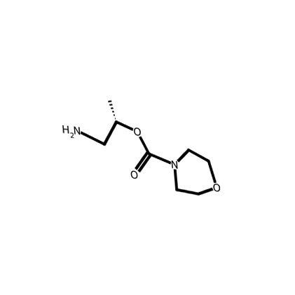 C[C@@H](CN)OC(=O)N1CCOCC1